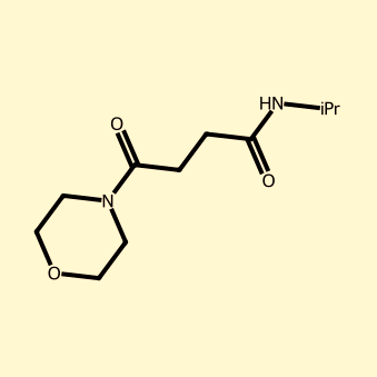 CC(C)NC(=O)CCC(=O)N1CCOCC1